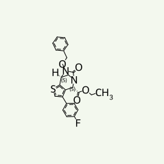 CCOC(=O)[C@@H]1c2c(-c3ccc(F)cc3)csc2[C@@H]2CN1C(=O)N2OCc1ccccc1